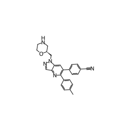 Cc1ccc(-c2nc3cnn(C[C@@H]4CNCCO4)c3cc2-c2ccc(C#N)cc2)cc1